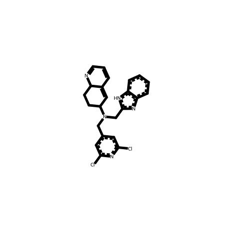 Clc1cc(CN(Cc2nc3ccccc3[nH]2)C2C=C3C=CC=NC3CC2)cc(Cl)n1